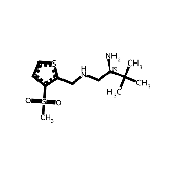 CC(C)(C)[C@H](N)CNCc1sccc1S(C)(=O)=O